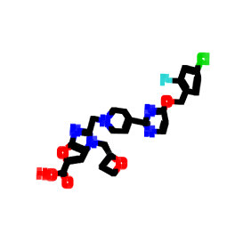 O=C(O)c1cc2c(nc(CN3CC=C(c4nccc(OCc5ccc(Cl)cc5F)n4)CC3)n2C[C@@H]2CCO2)o1